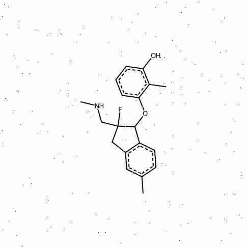 CNCC1(F)Cc2cc(C)ccc2C1Oc1cccc(O)c1C